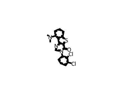 CN(C)c1cccc2sc3c(=O)n(-c4cccc(Cl)c4Cl)cnc3c12